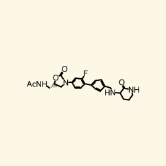 CC(=O)NC[C@H]1CN(c2ccc(-c3ccc(CNC4CCCNC4=O)cc3)c(F)c2)C(=O)O1